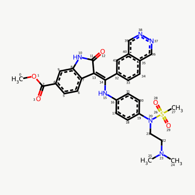 COC(=O)c1ccc2c(c1)NC(=O)C2=C(Nc1ccc(N(CCN(C)C)S(C)(=O)=O)cc1)c1ccc2cnncc2c1